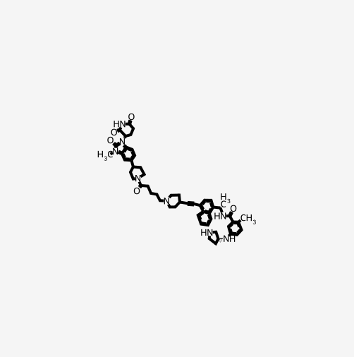 Cc1ccc(N[C@@H]2CCNC2)cc1C(=O)NC(C)c1ccc(C#CC2CCN(CCCCC(=O)N3CCC(c4ccc5c(c4)n(C)c(=O)n5C4CCC(=O)NC4=O)CC3)CC2)c2ccccc12